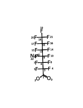 O=C([O-])C(F)(F)C(F)(F)C(F)(F)C(F)(F)C(F)(F)C(F)(F)F.[Na+]